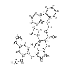 COc1ccc(Cn2cc(CN(C(=O)OCC3c4ccccc4-c4ccccc43)C(C)C3CCC3)nn2)c(OC)c1